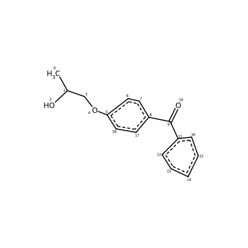 CC(O)COc1ccc(C(=O)c2ccccc2)cc1